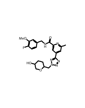 COc1cc(CNC(=O)c2cc(-c3nnn(CC4CCC(O)CO4)n3)cc(C)n2)ccc1F